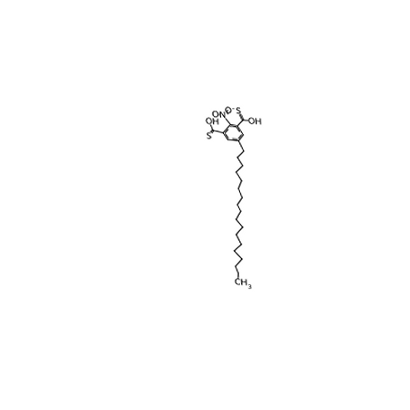 CCCCCCCCCCCCCCCCCCc1cc(C(O)=S)c([N+](=O)[O-])c(C(O)=S)c1